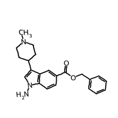 CN1CCC(c2cn(N)c3ccc(C(=O)OCc4ccccc4)cc23)CC1